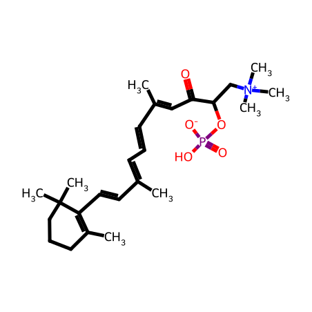 CC(C=CC1=C(C)CCCC1(C)C)=CC=CC(C)=CC(=O)C(C[N+](C)(C)C)OP(=O)([O-])O